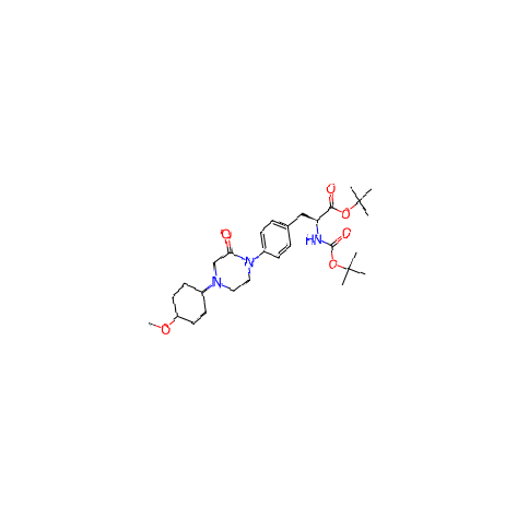 COC1CCC(N2CCN(c3ccc(C[C@H](NC(=O)OC(C)(C)C)C(=O)OC(C)(C)C)cc3)C(=O)C2)CC1